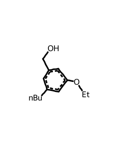 CCCCc1cc(CO)cc(OCC)c1